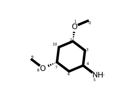 CO[C@@H]1CC([NH])C[C@H](OC)C1